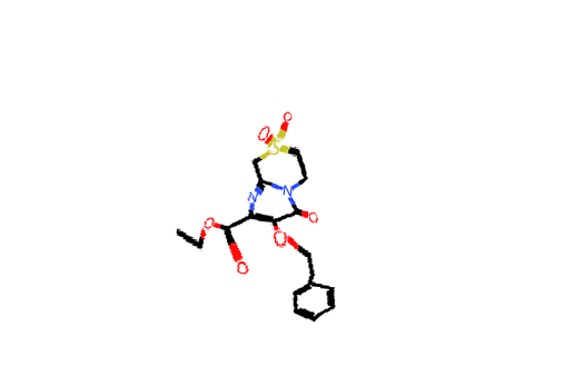 CCOC(=O)c1nc2n(c(=O)c1OCc1ccccc1)CCS(=O)(=O)C2